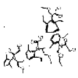 CCOCN(C(=O)CCl)c1c(C)cccc1CC.CCc1cccc(C)c1N(C(=O)CCl)C(C)COC.CCc1cccc(CC)c1N(COC)C(=O)CCl.COCC(C)N(C(=O)CCl)c1c(C)csc1C